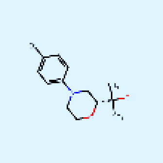 CCc1ccc(N2CCO[C@@H](C(C)(C)O)C2)cc1